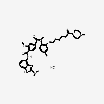 COc1cc(C(=O)N(C)c2ccc(C)cc2OCCCCCC(=O)N2CCN(C)CC2)ccc1C(=O)Nc1cccc2[nH]c(N(C)C)nc12.Cl